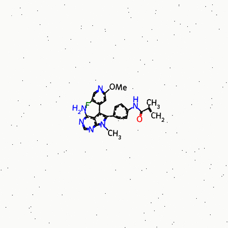 C=C(C)C(=O)Nc1ccc(-c2c(-c3cc(OC)ncc3F)c3c(N)ncnc3n2C)cc1